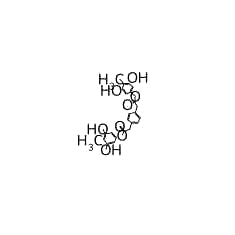 Cc1c(O)cc(OC(=O)Cc2ccc(CC(=O)Oc3cc(O)c(C)c(O)c3)cc2)cc1O